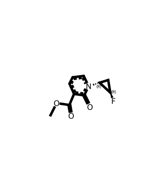 COC(=O)c1cccn([C@@H]2C[C@H]2F)c1=O